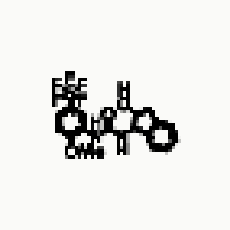 COc1ccc(S(F)(F)(F)(F)F)cc1NC(=O)N[C@@H]1c2ccccc2C[C@@H]1O